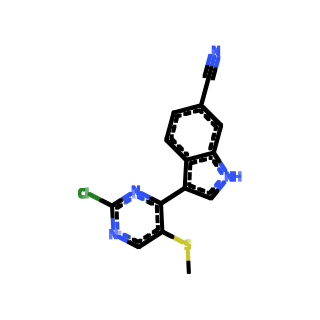 CSc1cnc(Cl)nc1-c1c[nH]c2cc(C#N)ccc12